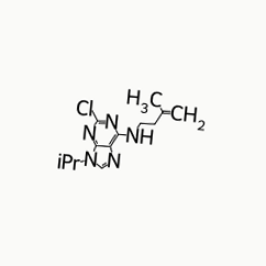 C=C(C)CCNc1nc(Cl)nc2c1ncn2C(C)C